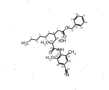 CCCCCCC(CC(=O)OCc1ccccc1)[C@H](O)C(C)C(=O)Nc1c(C)cc(C#N)cc1C